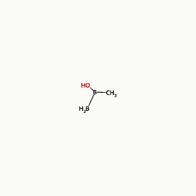 BB(C)O